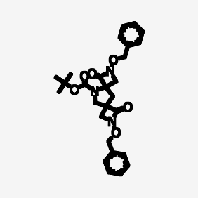 CC(C)(C)OC(=O)N1CC2(CN(OCc3ccccc3)C2=O)CC12CN(OCc1ccccc1)C2=O